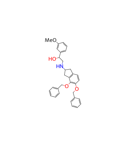 COc1cccc(C(O)CNC2Cc3ccc(OCc4ccccc4)c(OCc4ccccc4)c3C2)c1